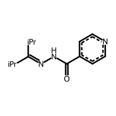 CC(C)C(=NNC(=O)c1ccncc1)C(C)C